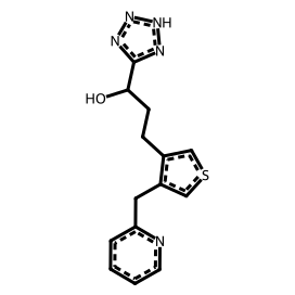 OC(CCc1cscc1Cc1ccccn1)c1nn[nH]n1